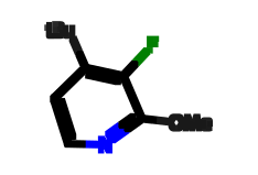 COc1nccc(C(C)(C)C)c1F